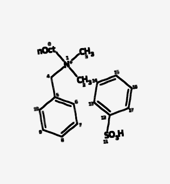 CCCCCCCC[N+](C)(C)Cc1ccccc1.O=S(=O)(O)c1ccccc1